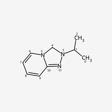 CC(C)N1CN2C=CC=CC2=N1